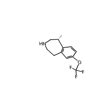 C[C@H]1CNCCc2cc(OC(F)(F)F)ccc21